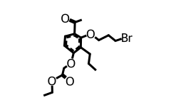 CCCc1c(OCC(=O)OCC)ccc(C(C)=O)c1OCCCBr